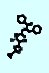 CC[C@H](NC(=O)/C=C(\CC1CCCCC1)C(=O)N1CCOCC1)C(O)c1noc(C2CC2)n1